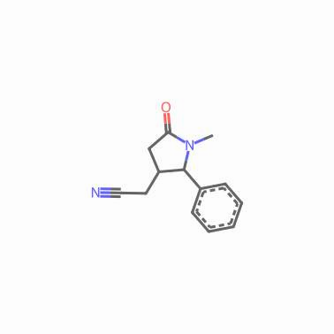 CN1C(=O)CC(CC#N)C1c1ccccc1